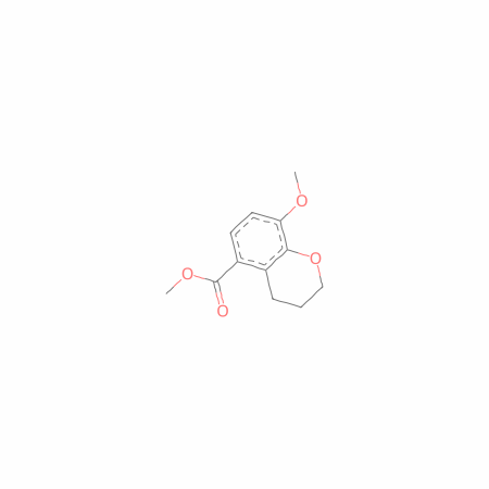 COC(=O)c1ccc(OC)c2c1CCCO2